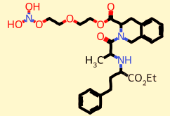 CCOC(=O)C(CCc1ccccc1)NC(C)C(=O)N1Cc2ccccc2CC1C(=O)OCCOCCON(O)O